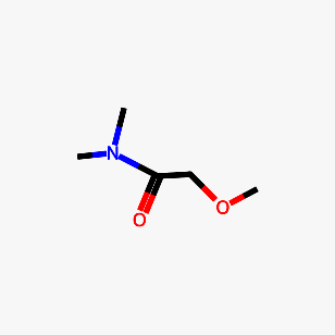 COCC(=O)N(C)C